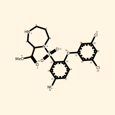 COC(=O)C1CNCCCN1S(=O)(=O)c1cc(C#N)ccc1Oc1cc(Cl)cc(Cl)c1